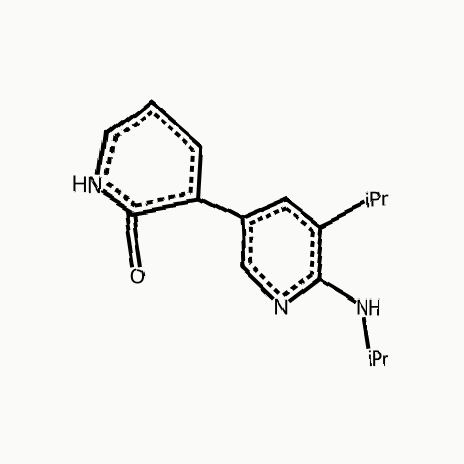 CC(C)Nc1ncc(-c2ccc[nH]c2=O)cc1C(C)C